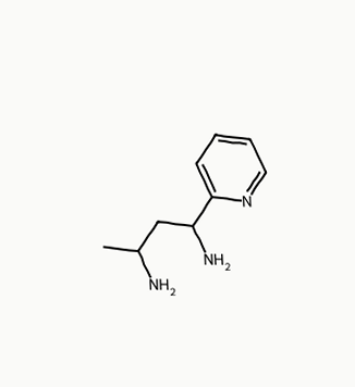 CC(N)CC(N)c1ccccn1